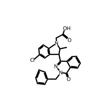 CC1C(c2nn(Cc3ccccc3)c(=O)c3ccccc23)c2cc(Cl)ccc2N1CC(=O)O